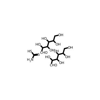 NC(=S)S.O=CC(O)C(O)C(O)C(O)CO.O=CC(O)C(O)C(O)C(O)CO